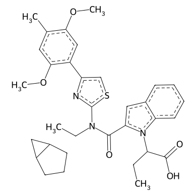 C1CC2CC2C1.CCC(C(=O)O)n1c(C(=O)N(CC)c2nc(-c3cc(OC)c(C)cc3OC)cs2)cc2ccccc21